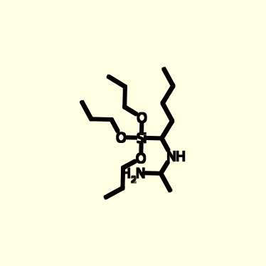 CCCCC(NC(C)N)[Si](OCCC)(OCCC)OCCC